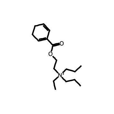 CCC[N+](CC)(CCC)CCOC(=O)C1=CCCC=C1